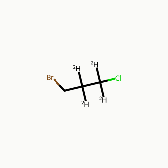 [2H]C([2H])(Cl)C([2H])([2H])CBr